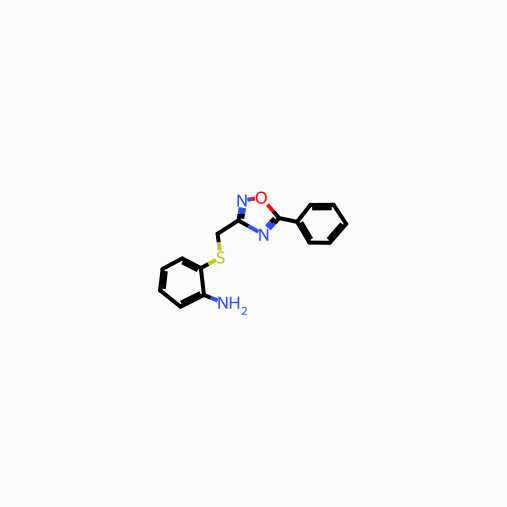 Nc1ccccc1SCc1noc(-c2ccccc2)n1